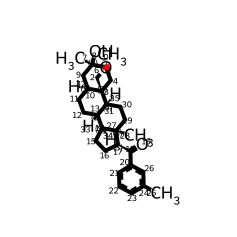 COC[C@]12CC[C@@](C)(O)C[C@@H]1CC[C@H]1[C@@H]3CC[C@H](C(=O)c4cccc(C)c4)[C@@]3(C)CC[C@@H]12